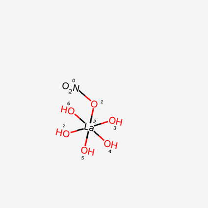 O=[N+]([O-])[O][La]([OH])([OH])([OH])([OH])[OH]